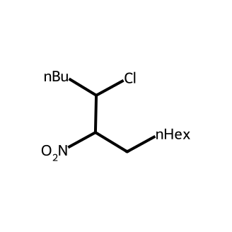 CCCCCCCC(C(Cl)CCCC)[N+](=O)[O-]